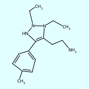 CCN1NC(c2ccc(C)cc2)=C(CCN)N1CC